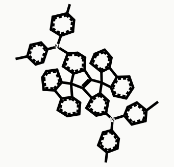 Cc1ccc(N(c2ccc(C)cc2)c2ccc3c(c2)C2(C4=C3C3(c5cc(N(c6ccc(C)cc6)c6ccc(C)cc6)ccc54)c4ccccc4-c4ccccc43)c3ccccc3-c3ccccc32)cc1